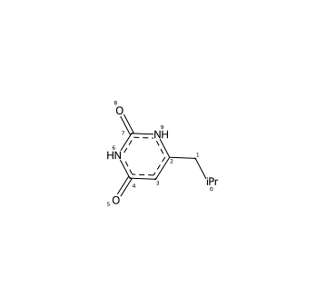 CC(C)Cc1cc(=O)[nH]c(=O)[nH]1